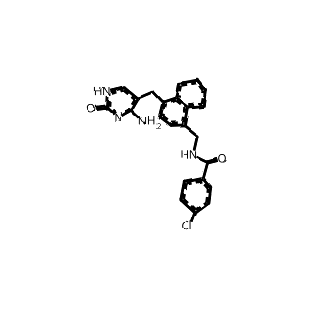 Nc1nc(=O)[nH]cc1Cc1ccc(CNC(=O)c2ccc(Cl)cc2)c2ccccc12